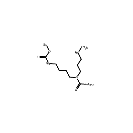 CCCCCC(=O)N(CCCCNC(=O)OC(C)(C)C)CCCNC(=O)O